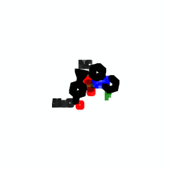 COC(=O)c1ccc(C2CC2)c(S(=O)(=O)Nc2cc(C#N)ccc2N2CCC[C@@H](F)C2)c1